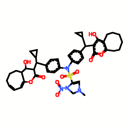 CN1C=C(S(=O)(=O)N(c2ccc(C(c3c(O)c4c(oc3=O)CCCCCC4)C3CC3)cc2)c2ccc(C(C3CC3)C3C(=O)OC4=CC=CCCCC4C3O)cc2)N([N+](=O)[O-])C1